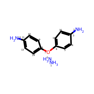 N.N.Nc1ccc(Oc2ccc(N)cc2)cc1